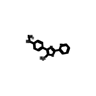 Cc1sc(-c2ccccn2)nc1-c1ccc(NN)cc1